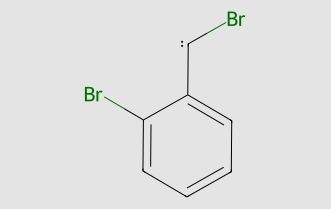 Br[C]c1ccccc1Br